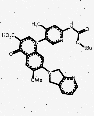 COc1cc2c(=O)c(C(=O)O)cn(-c3cnc(NC(=O)OC(C)(C)C)cc3C)c2cc1N1Cc2cccnc2C1